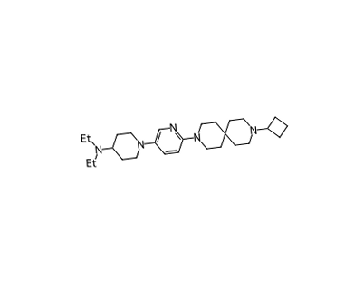 CCN(CC)C1CCN(c2ccc(N3CCC4(CC3)CCN(C3CCC3)CC4)nc2)CC1